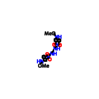 COCCNc1ccc2c3c(cccc13)C(=O)N(CCNCCCNCCN1C(=O)c3cccc4c(NCCOC)ccc(c34)C1=O)C2=O